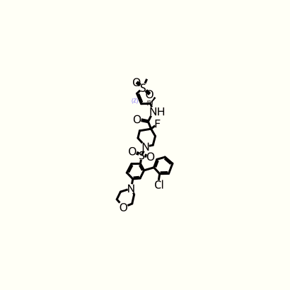 C[C@H](/C=C\S(C)(=O)=O)NC(=O)C1(F)CCN(S(=O)(=O)c2ccc(N3CCOCC3)cc2-c2ccccc2Cl)CC1